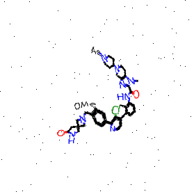 COc1cc(-c2nccc(-c3cccc(NC(=O)c4nc5c(n4C)CCN(C4CCN(C(C)=O)CC4)C5)c3C)c2Cl)ccc1CN1CC2(CNC(=O)C2)C1